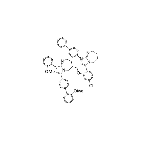 COc1ccccc1-c1ccc(C2=CN(c3ccccc3OC)C3=NCCC(COc4cc(Cl)ccc4C4=CN(c5ccc(-c6ccccc6)cc5)C5=NCCCCN45)CN23)cc1